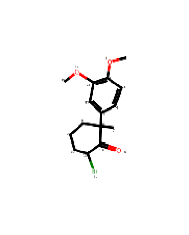 COc1ccc(C2(C)CCCC(Br)C2=O)cc1OC